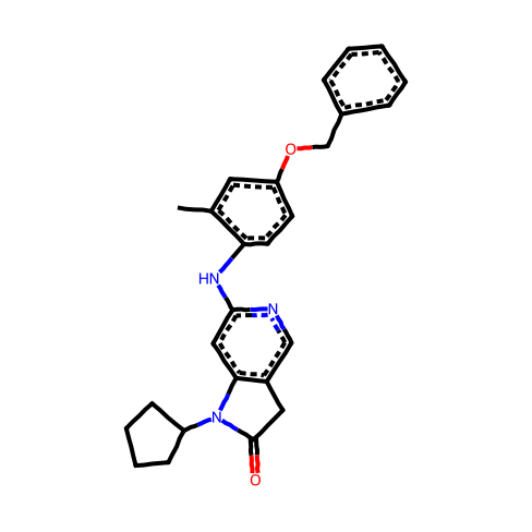 Cc1cc(OCc2ccccc2)ccc1Nc1cc2c(cn1)CC(=O)N2C1CCCC1